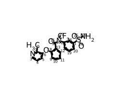 Cc1ncccc1Oc1ccccc1C(=O)N(c1cccc(S(N)(=O)=O)c1)C(F)(F)F